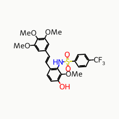 COc1cc(C=Cc2ccc(O)c(OC)c2NS(=O)(=O)c2ccc(C(F)(F)F)cc2)cc(OC)c1OC